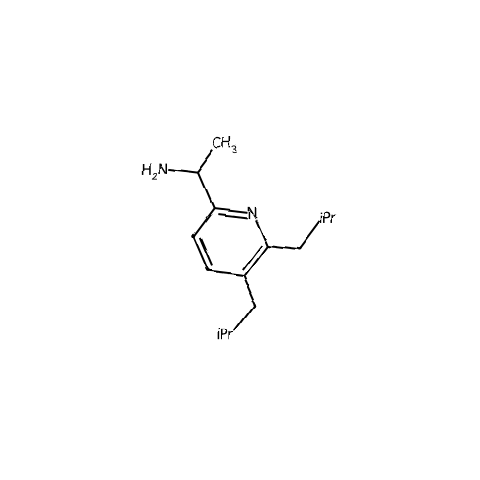 CC(C)Cc1ccc(C(C)N)nc1CC(C)C